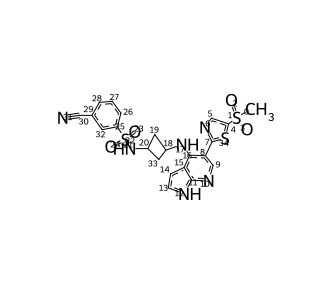 CS(=O)(=O)c1cnc(-c2cnc3[nH]ccc3c2NC2CC(NS(=O)(=O)c3cccc(C#N)c3)C2)s1